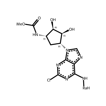 COC(=O)N[C@H]1C[C@@H](n2cnc3c([NH][RaH])nc(Cl)nc32)[C@H](O)[C@@H]1O